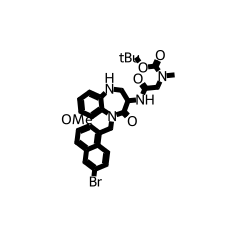 COc1ccc2cc(Br)ccc2c1CN1C(=O)C(NC(=O)CN(C)C(=O)OC(C)(C)C)CNc2ccccc21